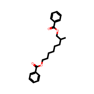 CC(CCCCCCOC(=O)c1ccccc1)COC(=O)c1ccccc1